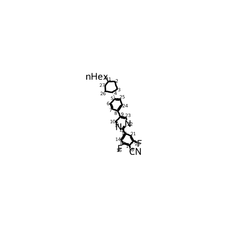 CCCCCC[C@H]1CC[C@H](c2ccc(-c3cnc(-c4cc(F)c(C#N)c(F)c4)nc3)cc2)CC1